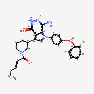 COC/C=C/C(=O)N1CCCC(c2cn(-c3ccc(Oc4ccccc4F)cc3)c3c(N)n[nH]c(=O)c23)C1